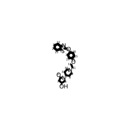 O=C1C[C@H](O)CN1C1CCN(CCOc2ccc(Oc3nc4ccccc4s3)cc2)CC1